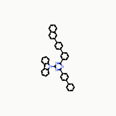 c1ccc(-c2ccc(-c3nc(-c4cccc(-c5ccc(-c6ccc7ccccc7c6)cc5)c4)nc(-n4c5ccccc5c5ccccc54)n3)cc2)cc1